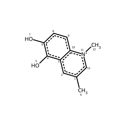 Cc1cc2c(O)c(O)ccc2[n+](C)c1